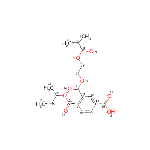 C=C(C)C(=O)OCCOC(=O)c1cc(C(=O)O)ccc1C(=O)OC(C)CC